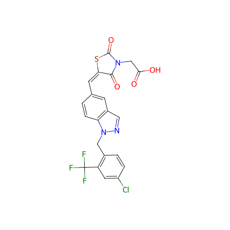 O=C(O)CN1C(=O)SC(=Cc2ccc3c(cnn3Cc3ccc(Cl)cc3C(F)(F)F)c2)C1=O